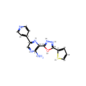 Nc1ncc(-c2ccncc2)nc1-c1nnc(-c2cccs2)o1